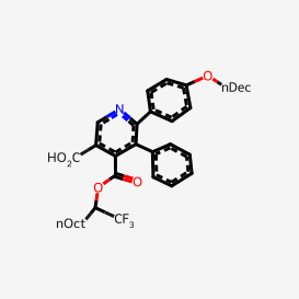 CCCCCCCCCCOc1ccc(-c2ncc(C(=O)O)c(C(=O)OC(CCCCCCCC)C(F)(F)F)c2-c2ccccc2)cc1